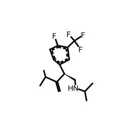 C=C(C(C)C)[C@H](CNC(C)C)c1ccc(F)c(C(F)(F)F)c1